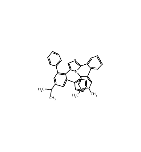 Cc1cc2c3ccccc3c3ncc(-c4c(-c5ccccc5)cc(C(C)C)cc4-c4ccccc4)n3c2cc1C